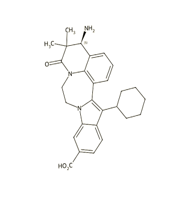 CC1(C)C(=O)N2CCn3c(c(C4CCCCC4)c4ccc(C(=O)O)cc43)-c3cccc(c32)[C@@H]1N